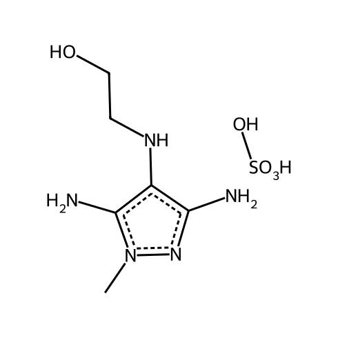 Cn1nc(N)c(NCCO)c1N.O=S(=O)(O)O